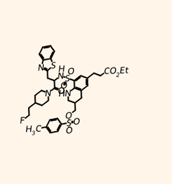 CCOC(=O)CCc1cc2c(c(S(=O)(=O)NC(Cc3nc4ccccc4s3)C(=O)N3CCC(CCF)CC3)c1)NCC(COS(=O)(=O)c1ccc(C)cc1)C2